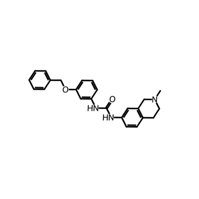 CN1CCc2ccc(NC(=O)Nc3cccc(OCc4ccccc4)c3)cc2C1